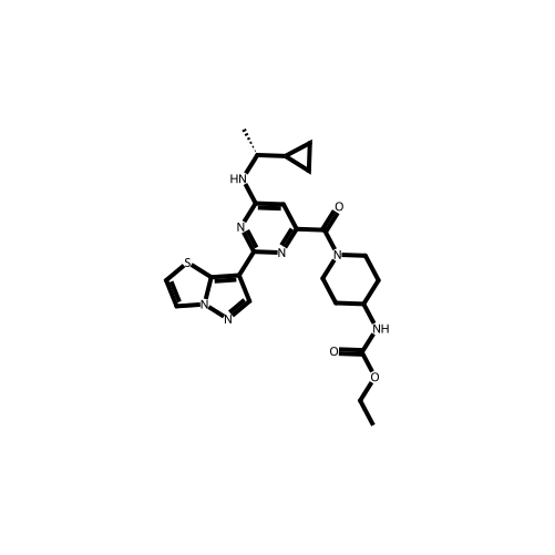 CCOC(=O)NC1CCN(C(=O)c2cc(N[C@H](C)C3CC3)nc(-c3cnn4ccsc34)n2)CC1